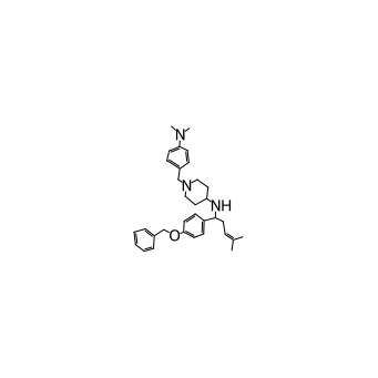 CC(C)=CCC(NC1CCN(Cc2ccc(N(C)C)cc2)CC1)c1ccc(OCc2ccccc2)cc1